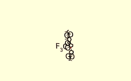 C=C(C)C(=O)Oc1ccc(-c2ccc3c(oc4c(C)c(OC(=O)C(=C)C)ccc43)c2OC(F)(F)F)cc1